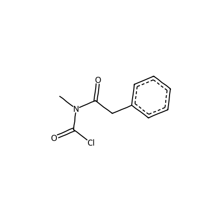 CN(C(=O)Cl)C(=O)Cc1ccccc1